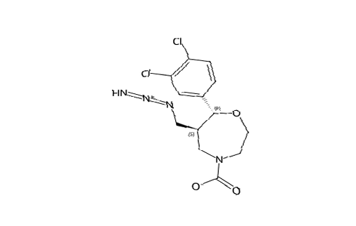 N=[N+]=NC[C@@H]1CN(C(=O)[O-])CCO[C@H]1c1ccc(Cl)c(Cl)c1